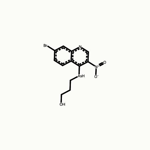 O=[N+]([O-])c1cnc2cc(Br)ccc2c1[AsH]CCCO